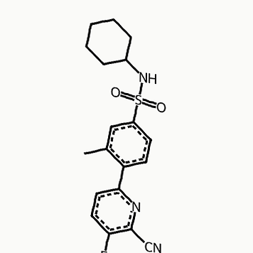 Cc1cc(S(=O)(=O)NC2CCCCC2)ccc1-c1ccc(F)c(C#N)n1